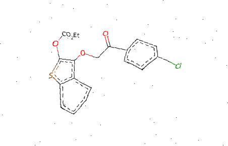 CCOC(=O)Oc1sc2ccccc2c1OCC(=O)c1ccc(Cl)cc1